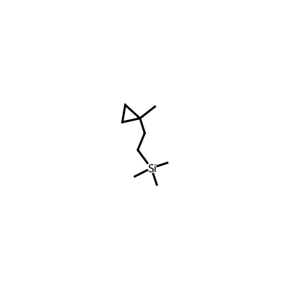 CC1(CC[Si](C)(C)C)CC1